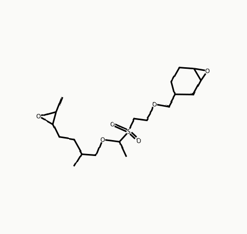 CC(CCC1OC1C)COC(C)S(=O)(=O)CCOCC1CCC2OC2C1